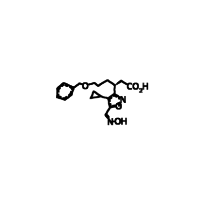 O=C(O)C[C@H](CCCOCc1ccccc1)c1noc(/C=N\O)c1C1CC1